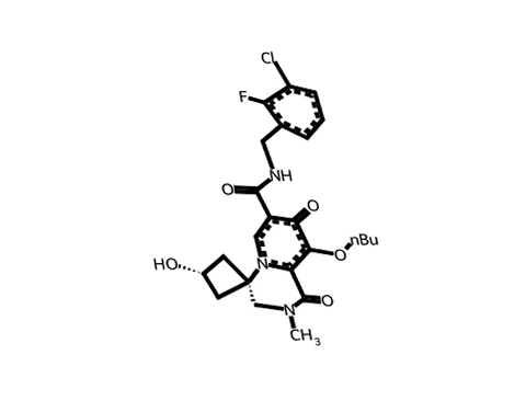 CCCCOc1c2n(cc(C(=O)NCc3cccc(Cl)c3F)c1=O)[C@]1(CN(C)C2=O)C[C@@H](O)C1